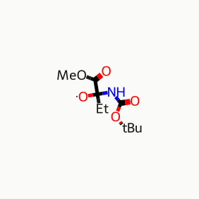 CCC([O])(NC(=O)OC(C)(C)C)C(=O)OC